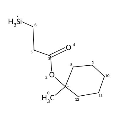 CC1(OC(=O)CC[SiH3])CCCCC1